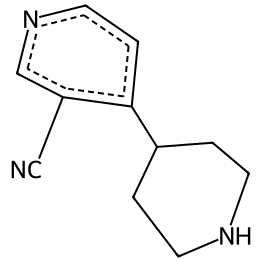 N#Cc1cnccc1C1CCNCC1